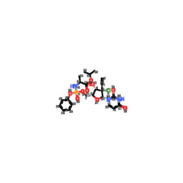 C#CC1(Cl)[C@@H](O)[C@@H](COP(=O)(N[C@@H](C)C(=O)OC(C)C)Oc2ccccc2)O[C@H]1n1ccc(=O)[nH]c1=O